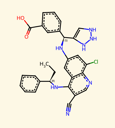 CC[C@@H](Nc1c(C#N)cnc2c(Cl)cc(N[C@H](C3=CNNN3)c3cccc(C(=O)O)c3)cc12)c1ccccc1